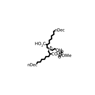 CCCCCCCCCCCCCCCCC(C[N+](C)(CCO)CC(CCCCCCCCCCCCCCCC)C(=O)O)C(=O)O.COS(=O)(=O)[O-]